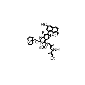 CC/C=C(\C)C(=N)/C=C(\C)CN(CCCC)c1nc(OCC23CCCN2CCC3)nc2c(F)c(-c3cc(O)cc4ccc(F)c(CC)c34)ncc12